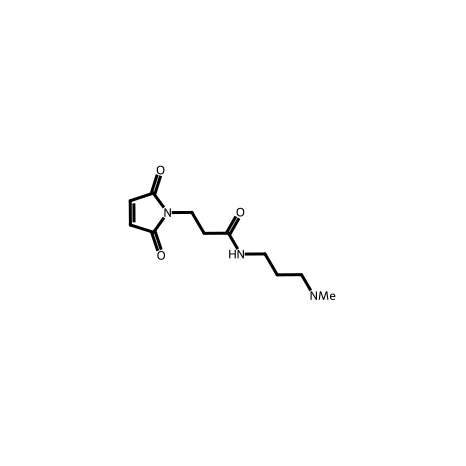 CNCCCNC(=O)CCN1C(=O)C=CC1=O